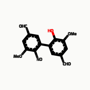 COc1cc(C=O)cc(-c2cc(C=O)cc(OC)c2N=O)c1O